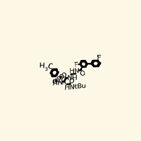 Cc1ccc(S(=O)(=O)N[C@@H](CC(=O)NC(C)(C)C)C(=O)NCCNC(=O)c2cc(-c3cccc(F)c3)ccc2F)cc1